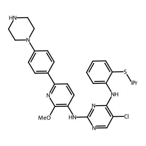 COc1nc(-c2ccc(N3CCNCC3)cc2)ccc1Nc1ncc(Cl)c(Nc2ccccc2SC(C)C)n1